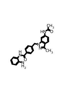 CC(=O)Nc1ccc2c(C)nn(Cc3ccc(C(=O)Nc4ccccc4N)cc3)c2c1